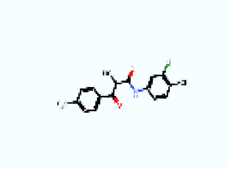 N#Cc1ccc(NC(=O)C(C#N)C(=O)c2ccc(C(F)(F)F)cc2)cc1Cl